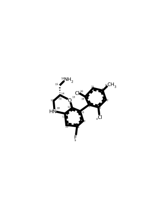 Cc1cc(Cl)c(-c2cc(F)cc3c2O[C@@H](CN)CN3)c(Cl)c1